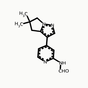 CC1(C)Cc2c(-c3ccnc(NC=O)c3)cnn2C1